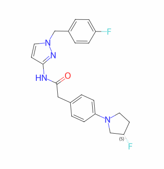 O=C(Cc1ccc(N2CC[C@H](F)C2)cc1)Nc1ccn(Cc2ccc(F)cc2)n1